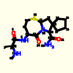 CN[C@@H](C)C(=O)NC1CCSC2CC3(CCCC3)C(C(N)=O)N2C1=O